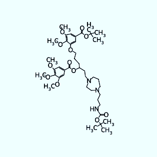 COc1cc(C(=O)OC(CCCOc2cc(C(=O)OC(C)(C)C)cc(OC)c2OC)CCN2CCCN(CCCNC(=O)OC(C)(C)C)CC2)cc(OC)c1OC